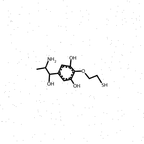 CC(N)C(O)c1cc(O)c(OCCS)c(O)c1